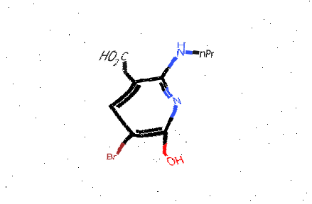 CCCNc1nc(O)c(Br)cc1C(=O)O